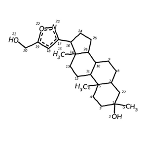 CC1(O)CCC2(C)C(CCC3C2CCC2(C)C(c4cc(CO)on4)CCC32)C1